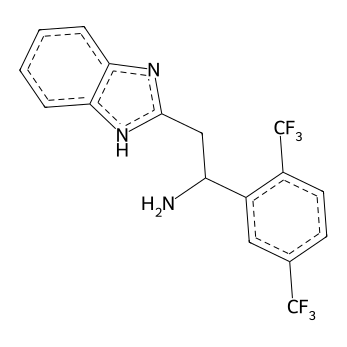 NC(Cc1nc2ccccc2[nH]1)c1cc(C(F)(F)F)ccc1C(F)(F)F